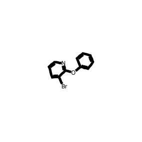 Brc1cccnc1Oc1ccccc1